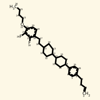 C=CCCc1ccc(C2CCC(C3CCC(CCc4ccc(OCCCC)c(F)c4F)CC3)CC2)cc1